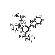 CCCCNC(=O)Oc1c(-n2nc3ccccc3n2)cc(C(C)(C)CC)cc1C(C)(C)CC